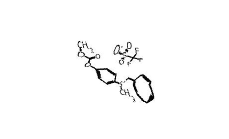 COC(=O)Oc1ccc([S+](C)Cc2ccccc2)cc1.O=S(=O)([O-])C(F)(F)F